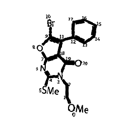 COCCn1c(SC)nc2oc(Br)c(-c3ccccc3)c2c1=O